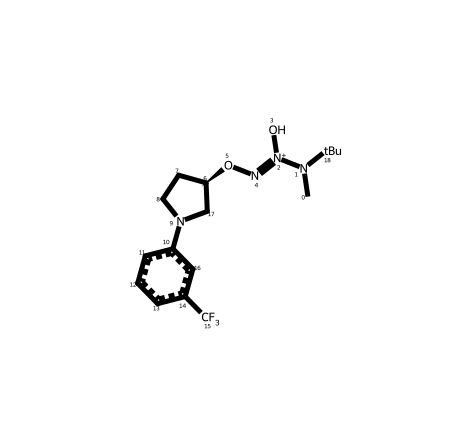 CN(/[N+](O)=N/O[C@@H]1CCN(c2cccc(C(F)(F)F)c2)C1)C(C)(C)C